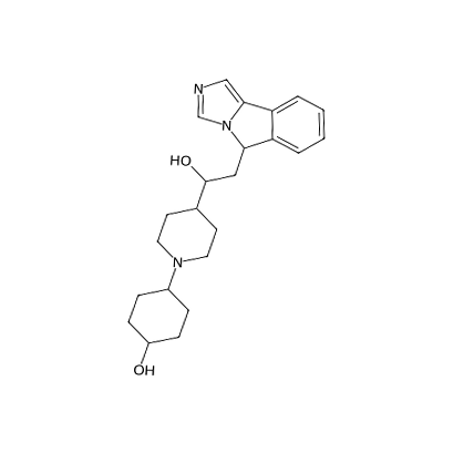 OC1CCC(N2CCC(C(O)CC3c4ccccc4-c4cncn43)CC2)CC1